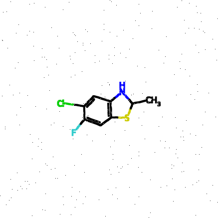 CC1Nc2cc(Cl)c(F)cc2S1